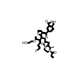 C=CC(=O)N1CCn2nc(-c3nc(-c4ccc5c(c4)C(=O)NC5)c4ccsc4c3/C(C(=C)OCCO)=C(F)/C=C/F)cc2[C@H]1C